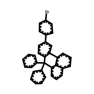 Brc1ccc(-c2ccc3c(c2)-c2cccc4cccc(c24)C3(c2ccccc2)c2ccccc2)cc1